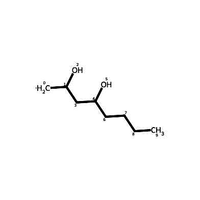 [CH2]C(O)CC(O)CCCC